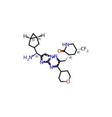 N[C@H](c1cn2nc(C[C@H]3C[C@@H](C(F)(F)F)CNC3=O)c(C3CCOCC3)nc2n1)C1C[C@@H]2C[C@@H]2C1